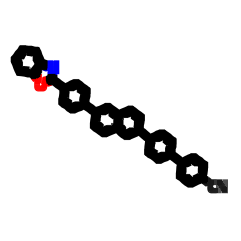 N#Cc1ccc(-c2ccc(-c3ccc4cc(-c5ccc(-c6nc7ccccc7o6)cc5)ccc4c3)cc2)cc1